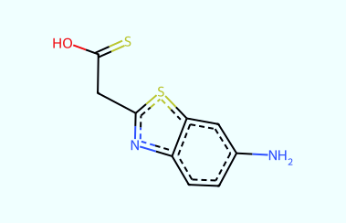 Nc1ccc2nc(CC(O)=S)sc2c1